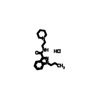 CCCn1nc(C(=O)NCCN2CCCCC2)c2ccccc21.Cl